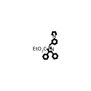 CCOC(=O)c1c(-c2ccccc2)c(-c2ccccc2)nn1Cc1cccc(-n2cccc2)c1